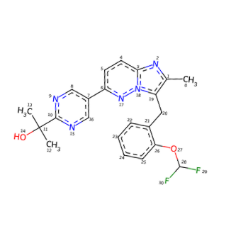 Cc1nc2ccc(-c3cnc(C(C)(C)O)nc3)nn2c1Cc1ccccc1OC(F)F